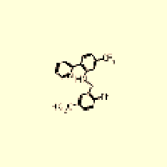 CCc1ccc(C(=O)O)cc1SNc1cc(C(F)(F)F)ccc1-c1ccccn1